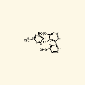 O=C(O)c1ccccc1C(=O)O.O=Cc1ccccc1.O=Cc1ccccc1